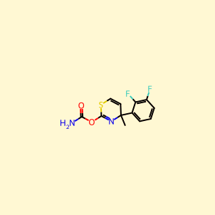 CC1(c2cccc(F)c2F)C=CSC(OC(N)=O)=N1